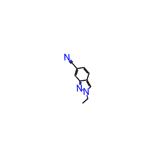 CCn1cc2ccc(C#N)cc2n1